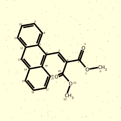 COC(=O)C(=Cc1c2ccccc2cc2ccccc12)C(=O)OC